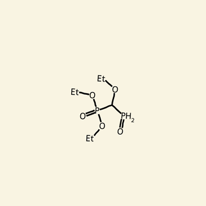 CCOC([PH2]=O)P(=O)(OCC)OCC